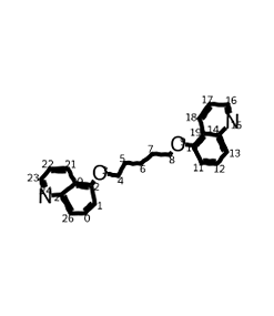 c1cc(OCCCCCOc2cccc3ncccc23)c2cccnc2c1